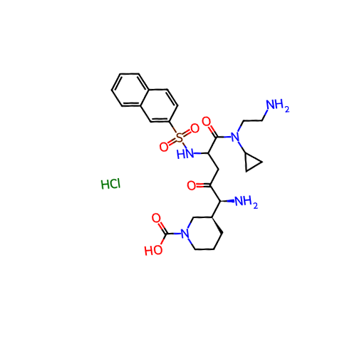 Cl.NCCN(C(=O)C(CC(=O)[C@@H](N)[C@H]1CCCN(C(=O)O)C1)NS(=O)(=O)c1ccc2ccccc2c1)C1CC1